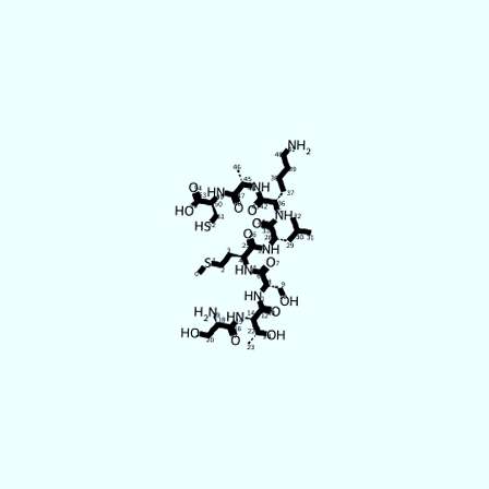 CSCC[C@H](NC(=O)[C@H](CO)NC(=O)[C@@H](NC(=O)[C@@H](N)CO)[C@@H](C)O)C(=O)N[C@@H](CC(C)C)C(=O)N[C@@H](CCCCN)C(=O)N[C@@H](C)C(=O)N[C@@H](CS)C(=O)O